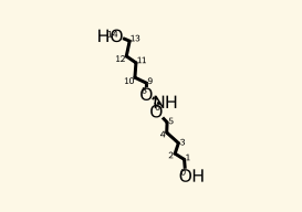 OCCCCCONOCCCCCO